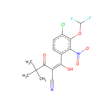 CC(C)(C)C(=O)C(C#N)=C(O)c1ccc(Cl)c(OC(F)F)c1[N+](=O)[O-]